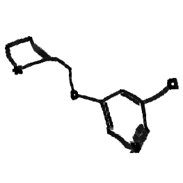 Clc1cncc(OCC2CC[N]2)c1